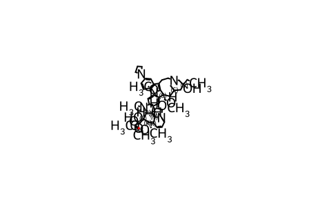 CC[C@]1(O)C[C@H]2CN(CCc3c([nH]c4ccc(N5CCC5)cc34)[C@@](C(=O)OC)(c3cc4c(cc3OC)N(C)[C@H]3[C@@](O)(C(=O)OC)[C@H](OC(C)=O)[C@]5(CC)C=CCN6CC[C@]43[C@@H]65)C2)C1